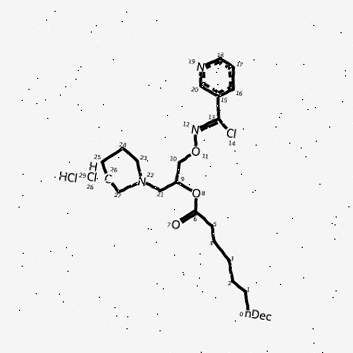 CCCCCCCCCCCCCCCC(=O)OC(CON=C(Cl)c1cccnc1)CN1CCCCC1.Cl.Cl